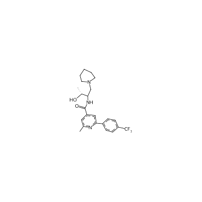 Cc1cc(C(=O)NC(CN2CCCCC2)[C@@H](C)O)cc(-c2ccc(C(F)(F)F)cc2)n1